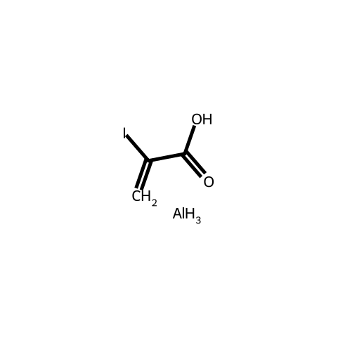 C=C(I)C(=O)O.[AlH3]